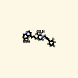 COc1ccc2nccc(CCC[C@@H]3CCN(CC#Cc4ccc(F)cc4F)C[C@@H]3CC(=O)O)c2c1